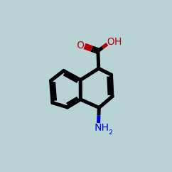 NC1C=CC(C(=O)O)c2ccccc21